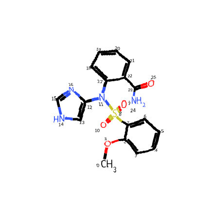 COc1ccccc1S(=O)(=O)N(c1c[nH]cn1)c1ccccc1C(N)=O